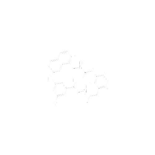 CC(Cc1cccc(CC(=O)NCc2cccc3ccccc23)c1)NCC(O)c1cc(O)cc(O)c1